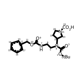 CC(C)(C)OC(=O)N(CCNC(=O)OCc1ccccc1)C1CCN(C(=O)O)C1